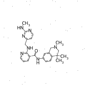 CNc1nccc(CNc2ncccc2C(=O)Nc2ccc3c(c2)CN(C)CC3(C)C)n1